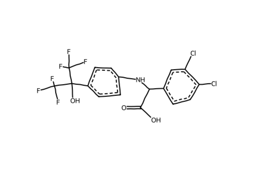 O=C(O)C(Nc1ccc(C(O)(C(F)(F)F)C(F)(F)F)cc1)c1ccc(Cl)c(Cl)c1